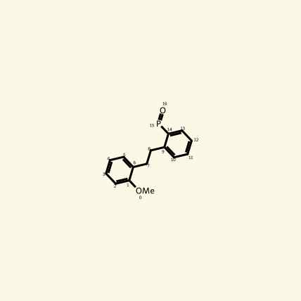 COc1ccccc1CCc1ccccc1P=O